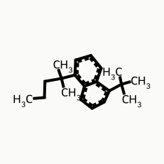 CCCC(C)(C)c1cccc2c(C(C)(C)C)cccc12